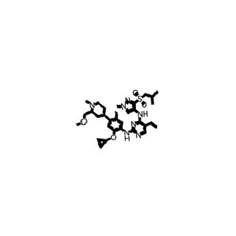 C=Cc1cnc(Nc2cc(C)c(C3CCN(C)C(COC)C3)cc2OC2CC2)nc1Nc1cn(C)nc1S(=O)(=O)CC(C)C